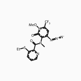 CCSc1cccnc1C(=O)N(C)c1c(N=[N+]=[N-])cc(C(F)(F)F)n(OC)c1=O